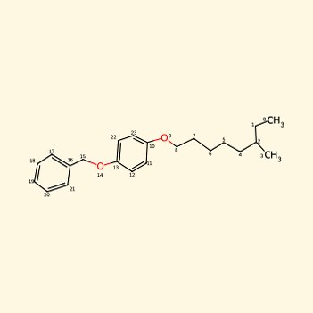 CCC(C)CCCCCOc1ccc(OCc2ccccc2)cc1